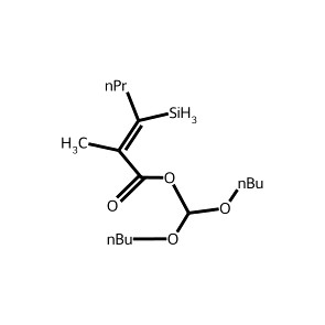 CCCCOC(OCCCC)OC(=O)C(C)=C([SiH3])CCC